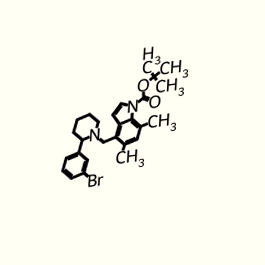 Cc1cc(C)c2c(ccn2C(=O)OC(C)(C)C)c1CN1CCCCC1c1cccc(Br)c1